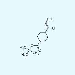 CC(C)(C)OC(=O)N1CCC(/C(Cl)=N/O)CC1